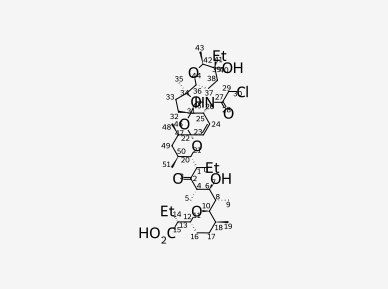 CCC(C(=O)[C@@H](C)[C@@H](O)[C@H](C)[C@@H]1O[C@@H]([C@@H](CC)C(=O)O)CC[C@@H]1C)[C@H]1O[C@]2(C=C[C@@H](NC(=O)CCl)[C@]3(CC[C@@](C)([C@H]4CC[C@](O)(CC)[C@H](C)O4)O3)O2)[C@H](C)C[C@@H]1C